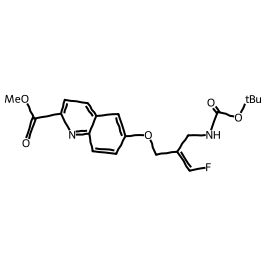 COC(=O)c1ccc2cc(OC/C(=C/F)CNC(=O)OC(C)(C)C)ccc2n1